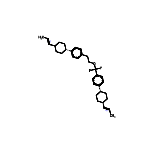 C/C=C/[C@H]1CC[C@H](c2ccc(CCOC(F)(F)c3ccc([C@H]4CC[C@H](/C=C/C)CC4)cc3)cc2)CC1